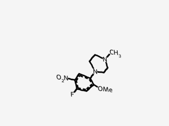 COc1cc(F)c([N+](=O)[O-])cc1N1CCN(C)CC1